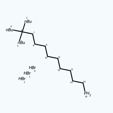 Br.Br.Br.CCCCC(CCCC)(CCCC)CCCCCCCCCP